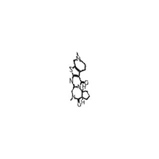 CN1CCc2c(sc3nc4n(c(=O)c23)[C@@H]2CCC[C@@H]2C(=O)N(C)C4)C1